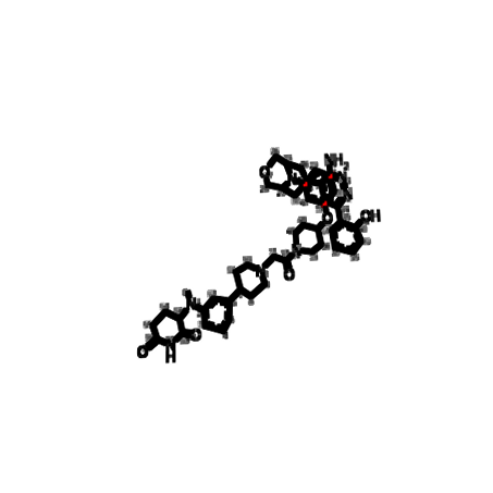 CN(c1cccc(C2CCN(CC(=O)N3CCC(Oc4cccc(N5C6COCC5CN(c5cc(-c7ccccc7O)nnc5N)C6)c4)CC3)CC2)c1)C1CCC(=O)NC1=O